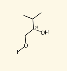 CC(C)[C@H](O)COI